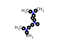 Cc1ccc(N(c2ccc(C)cc2)c2ccc(-c3ccc(N(c4ccccc4)c4ccc5c(ccc6cc(N(c7ccc(C)cc7)c7ccc(C)cc7)ccc65)c4)cc3)cc2)cc1